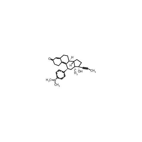 CC#C[C@]1(O)CC[C@H]2[C@@H]3CCC4=CC(=O)CCC4=C3[C@H](c3ccc(N(C)C)cc3)C[C@@]21C